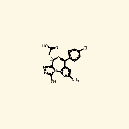 Cc1cc2c(s1)-n1c(C)nnc1[C@H](CC(=O)O)N=C2c1ccc(Cl)cc1